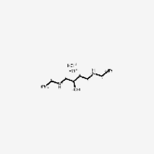 CC(C)CNCCC(O)CNCC(C)C.Cl.Cl